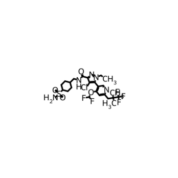 CCn1nc(C(=O)NCC2CCC(S(N)(=O)=O)CC2)c(Cl)c1-c1cnc(CC(C)(C)C(F)(F)F)cc1OC(F)F